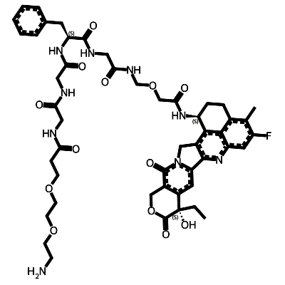 CC[C@@]1(O)C(=O)OCc2c1cc1n(c2=O)Cc2c-1nc1cc(F)c(C)c3c1c2[C@@H](NC(=O)COCNC(=O)CNC(=O)[C@H](Cc1ccccc1)NC(=O)CNC(=O)CNC(=O)CCOCCOCCN)CC3